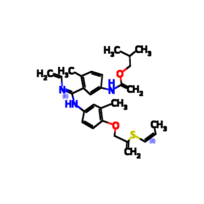 C=C/N=C(/Nc1ccc(OCC(=C)S/C=C\C)c(C)c1)c1cc(NC(=C)OCC(C)C)ccc1C